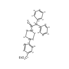 CCOC(=O)c1cnc(N2CCN(C(=O)N(c3ccccc3)c3ccccc3)CC2)nc1